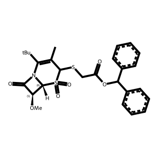 CO[C@H]1C(=O)N2C(C(C)(C)C)=C(C)C(SCC(=O)OC(c3ccccc3)c3ccccc3)S(=O)(=O)[C@H]12